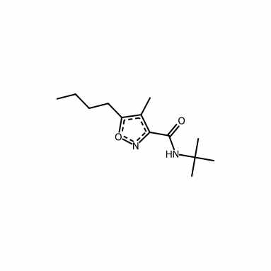 CCCCc1onc(C(=O)NC(C)(C)C)c1C